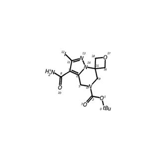 CC(C)(C)OC(=O)N1Cc2c(C(N)=O)c(I)nn2C2(COC2)C1